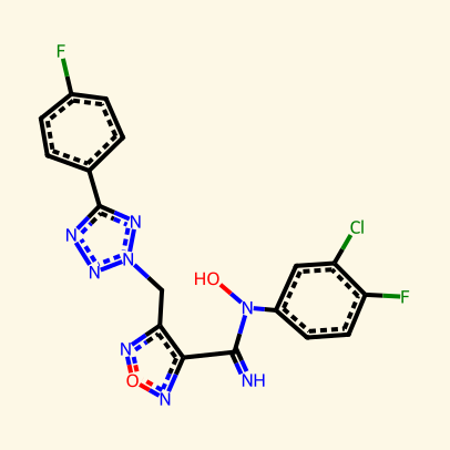 N=C(c1nonc1Cn1nnc(-c2ccc(F)cc2)n1)N(O)c1ccc(F)c(Cl)c1